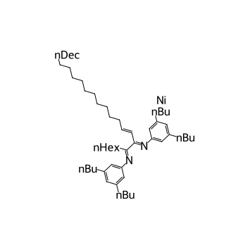 CCCCCCCCCCCCCCCCCCCC/C=C/C(=N\c1cc(CCCC)cc(CCCC)c1)C(/CCCCCC)=N/c1cc(CCCC)cc(CCCC)c1.[Ni]